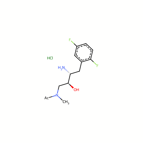 CC(=O)N(C)C[C@H](O)[C@H](N)Cc1cc(F)ccc1F.Cl